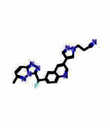 Cc1ccc2nnc(C(F)c3ccc4ncc(-c5cnn(CCC#N)c5)cc4c3)n2n1